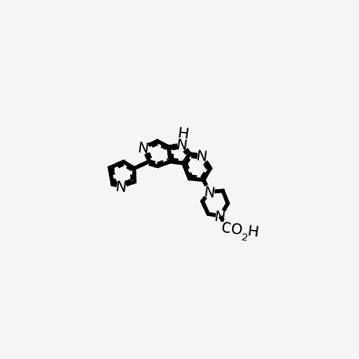 O=C(O)N1CCN(c2cnc3[nH]c4cnc(-c5cccnc5)cc4c3c2)CC1